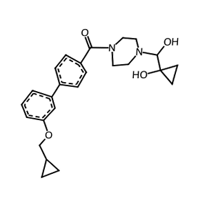 O=C(c1ccc(-c2cccc(OCC3CC3)c2)cc1)N1CCN(C(O)C2(O)CC2)CC1